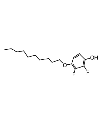 CCCCCCCCCCOc1ccc(O)c(F)c1F